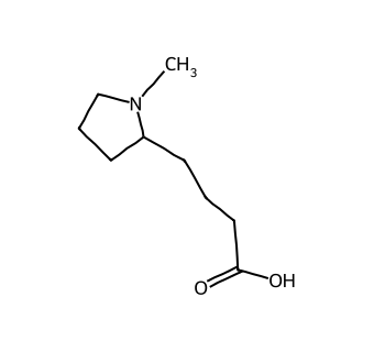 CN1CCCC1CCCC(=O)O